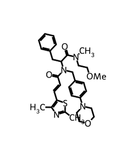 COCCN(C)C(=O)C(Cc1ccccc1)N(Cc1ccc(N2CCOCC2)cc1)C(=O)C=Cc1sc(C)nc1C